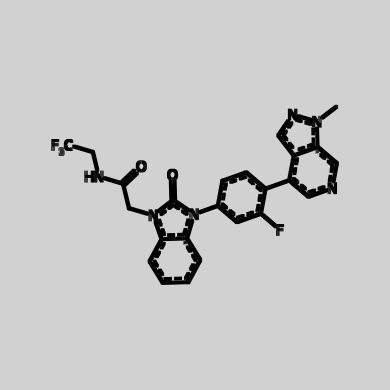 Cn1ncc2c(-c3ccc(-n4c(=O)n(CC(=O)NCC(F)(F)F)c5ccccc54)cc3F)cncc21